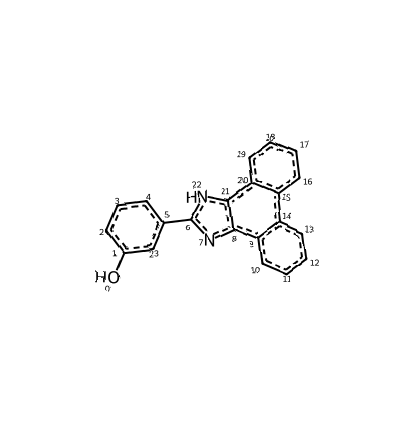 Oc1cccc(-c2nc3c4ccccc4c4ccccc4c3[nH]2)c1